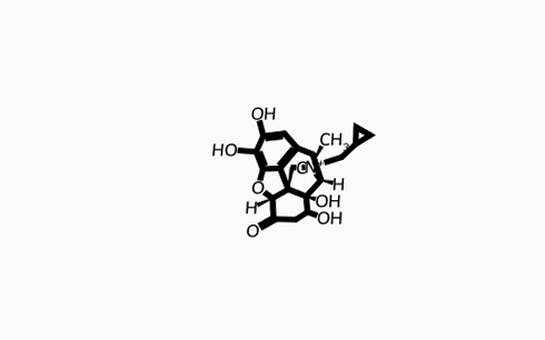 C[N@+]1(CC2CC2)CC[C@]23c4c5cc(O)c(O)c4O[C@H]2C(=O)CC(O)[C@@]3(O)[C@H]1C5